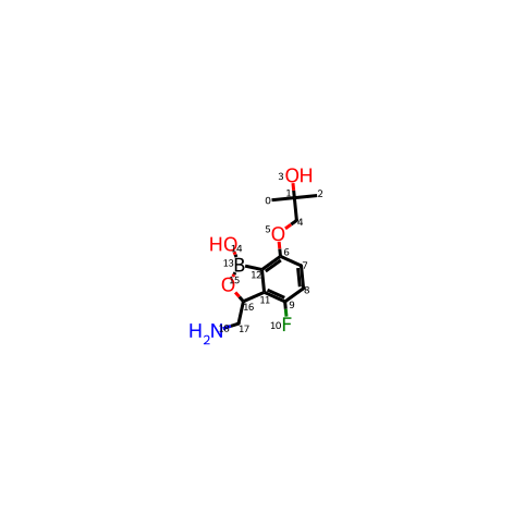 CC(C)(O)COc1ccc(F)c2c1B(O)OC2CN